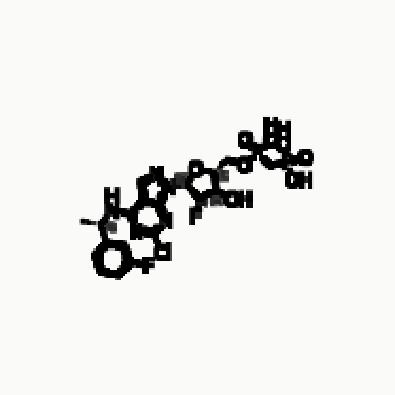 C[C@H](Nc1nc(Cl)nc2c1cnn2[C@@H]1O[C@H](COP(=O)(O)CP(=O)(O)O)[C@@H](O)[C@@H]1F)c1cccc(F)c1